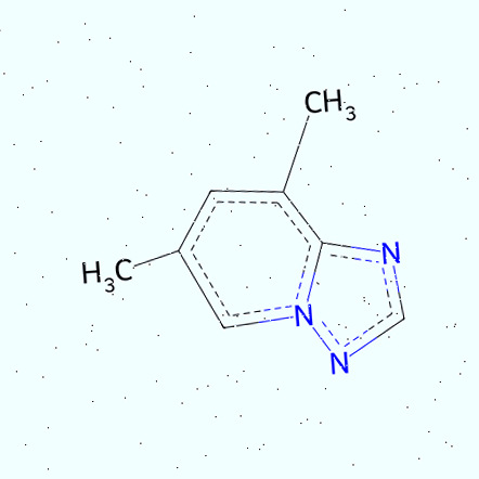 Cc1cc(C)c2ncnn2c1